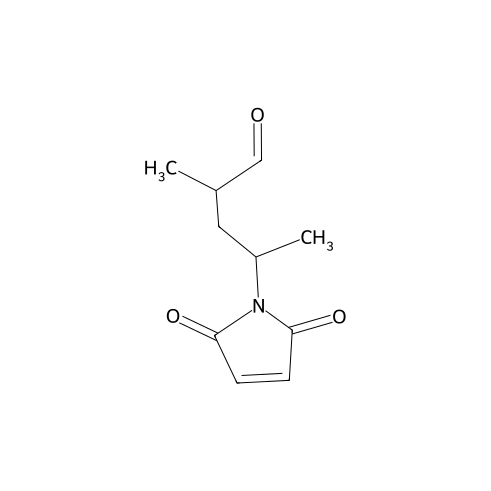 CC(C=O)CC(C)N1C(=O)C=CC1=O